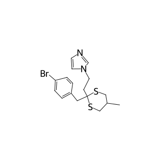 CC1CSC(CCn2ccnc2)(Cc2ccc(Br)cc2)SC1